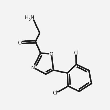 NCC(=O)c1ncc(-c2c(Cl)cccc2Cl)o1